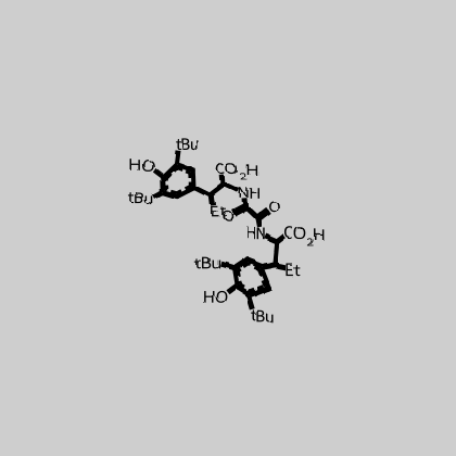 CCC(c1cc(C(C)(C)C)c(O)c(C(C)(C)C)c1)C(NC(=O)C(=O)NC(C(=O)O)C(CC)c1cc(C(C)(C)C)c(O)c(C(C)(C)C)c1)C(=O)O